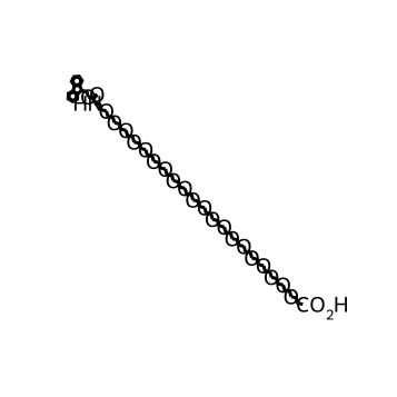 O=C(O)CCOCCOCCOCCOCCOCCOCCOCCOCCOCCOCCOCCOCCOCCOCCOCCOCCOCCOCCOCCOCCNC(=O)OCC1c2ccccc2-c2ccccc21